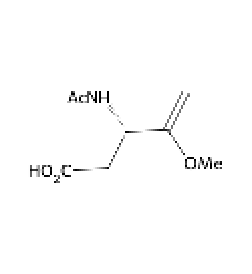 C=C(OC)[C@H](CC(=O)O)NC(C)=O